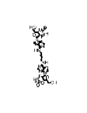 O=[PH](S)O[C@@H]1C(CO)O[C@@H](n2cnc3c(NC/C=C/CNc4ncnc5c4ncn5C4OC(CO)[C@@H](O[PH](=O)S)[C@H]4F)ncnc32)[C@@H]1F